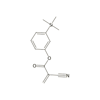 C=C(C#N)C(=O)Oc1cccc([Si](C)(C)C)c1